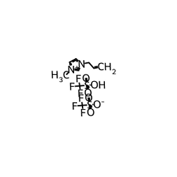 C=CCn1cc[n+](C)c1.O=S(=O)(O)C(F)(F)F.O=S(=O)([O-])C(F)(F)F